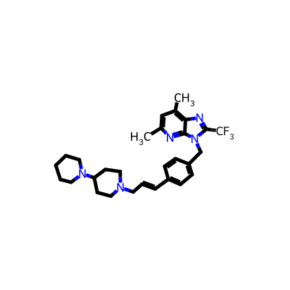 Cc1cc(C)c2nc(C(F)(F)F)n(Cc3ccc(C=CCN4CCC(N5CCCCC5)CC4)cc3)c2n1